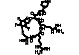 N=C(N)NCCCC1NC(=O)C(NS)CSc2c(F)c(F)c(c(F)c2F)SCC(C(=O)NCC(=O)N2CCNCC2)NC(=O)C(CCCNC(=N)N)NC1=O